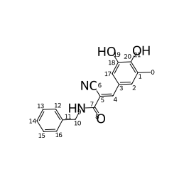 Cc1cc(/C=C(\C#N)C(=O)NCc2ccccc2)cc(O)c1O